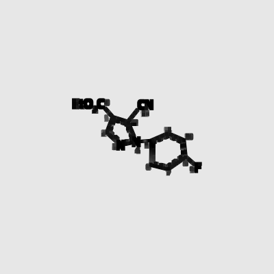 CCOC(=O)c1cnn(-c2ccc(F)cc2)c1C#N